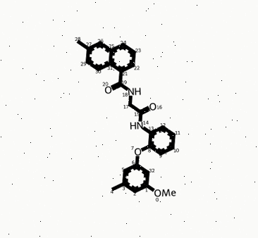 COc1cc(C)cc(Oc2ccccc2NC(=O)CNC(=O)c2cccc3cc(C)ccc23)c1